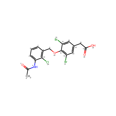 CC(=O)Nc1cccc(COc2c(Br)cc(CC(=O)O)cc2Br)c1Cl